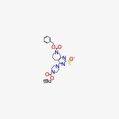 C[S+]([O-])c1nc2c(c(N3CCN(C(=O)OC(C)(C)C)CC3)n1)CCCN(C(=O)OCc1ccccc1)C2